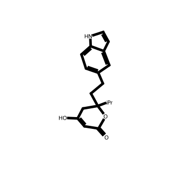 CC(C)C1(CCc2ccc3[nH]ccc3c2)CC(O)=CC(=O)O1